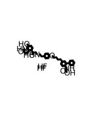 F.F.O=C(O)Nc1ccc(CCCCOc2ccc(CCNCC(O)c3ccc(O)c4[nH]c(=O)ccc34)cc2)cc1-c1ccccc1